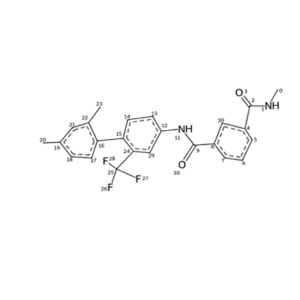 CNC(=O)c1cccc(C(=O)Nc2ccc(-c3ccc(C)cc3C)c(C(F)(F)F)c2)c1